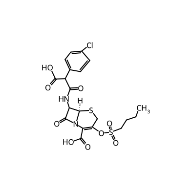 CCCCS(=O)(=O)OC1=C(C(=O)O)N2C(=O)C(NC(=O)C(C(=O)O)c3ccc(Cl)cc3)[C@H]2SC1